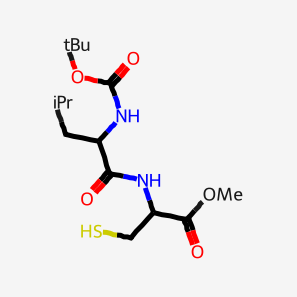 COC(=O)C(CS)NC(=O)C(CC(C)C)NC(=O)OC(C)(C)C